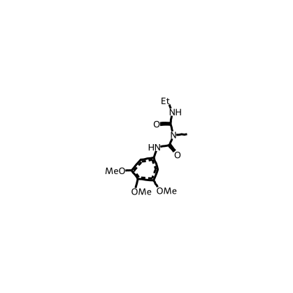 CCNC(=O)N(C)C(=O)Nc1cc(OC)c(OC)c(OC)c1